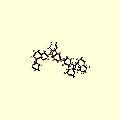 C1=Cc2c(n(-c3ccc4c(-c5ccccc5)cccc4c3)c3ccc(-c4ccc5c(c4)c4ccccc4n5-c4cccc5ccccc45)cc23)CC1